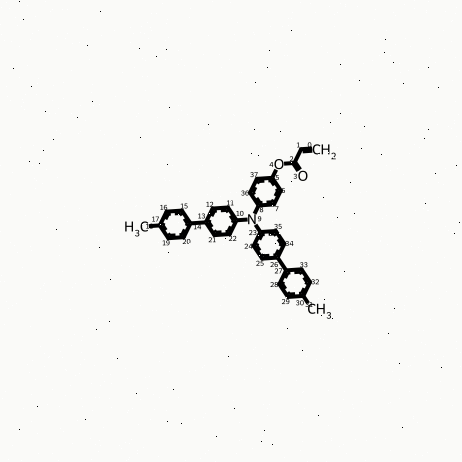 C=CC(=O)Oc1ccc(N(c2ccc(-c3ccc(C)cc3)cc2)c2ccc(-c3ccc(C)cc3)cc2)cc1